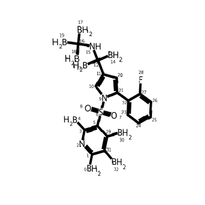 Bc1nc(B)c(S(=O)(=O)n2cc(C(B)(B)NC(B)(B)B)cc2-c2ccccc2F)c(B)c1B